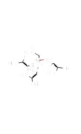 CC[Si](O[SiH2]C=C(C)C)(O[SiH2]C=C(C)C)O[SiH2]C=C(C)C